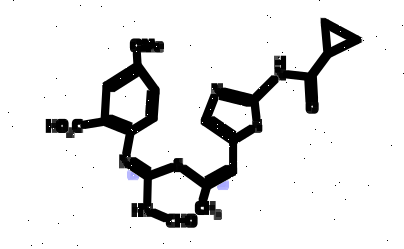 COc1ccc(/N=C(/NC=O)S/C(C)=C\c2cnc(NC(=O)C3CC3)s2)c(C(=O)O)c1